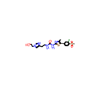 Cc1nc(NC(=O)NCCc2cn(CCO)cn2)sc1-c1ccc(S(C)(=O)=O)c(F)c1